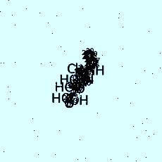 O=P(O)(O)CC[C@H]1O[C@@H](n2cnc3c(Nc4ccc5ccccc5c4)nc(Cl)nc32)C(O)C1O